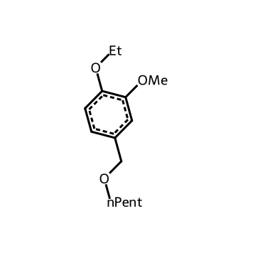 CCCCCOCc1ccc(OCC)c(OC)c1